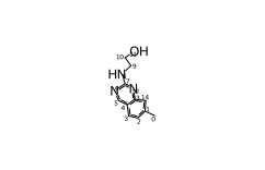 Cc1ccc2cnc(NCCO)nc2c1